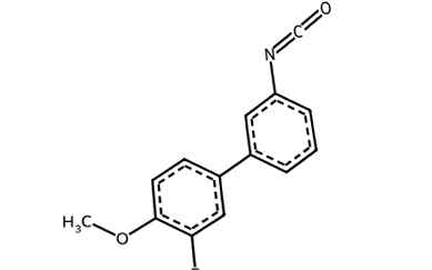 COc1ccc(-c2cccc(N=C=O)c2)cc1F